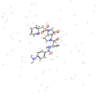 CCCC(NC(=O)c1ccc(N(C)C)cc1)C(=O)N1CCC2C1C(=O)CN2S(=O)(=O)Cc1ccccn1